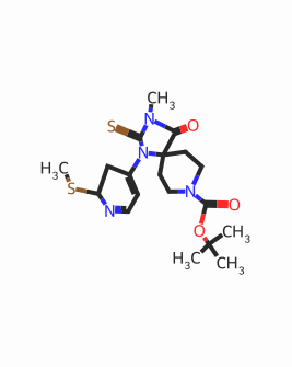 CSC1CC(N2C(=S)N(C)C(=O)C23CCN(C(=O)OC(C)(C)C)CC3)=CC=N1